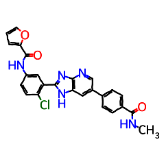 CNC(=O)c1ccc(-c2cnc3nc(-c4cc(NC(=O)c5ccco5)ccc4Cl)[nH]c3c2)cc1